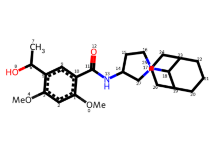 COc1cc(OC)c(C(C)O)cc1C(=O)NC1CCN(C2C3CCCC2CCC3)C1